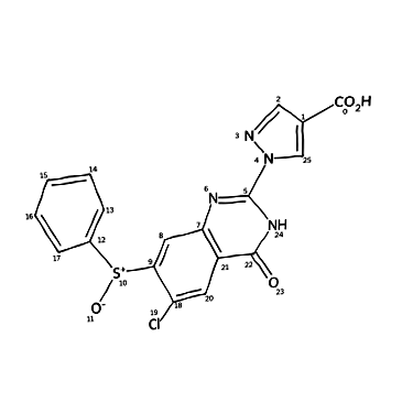 O=C(O)c1cnn(-c2nc3cc([S+]([O-])c4ccccc4)c(Cl)cc3c(=O)[nH]2)c1